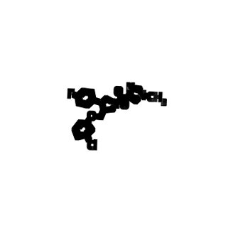 Cn1cnc(S(=O)(=O)N2CC(COc3cccc(Cl)c3)C(c3ccc(F)cc3)C2)c1